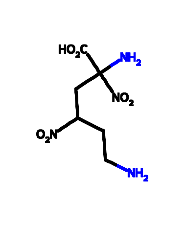 NCCC(CC(N)(C(=O)O)[N+](=O)[O-])[N+](=O)[O-]